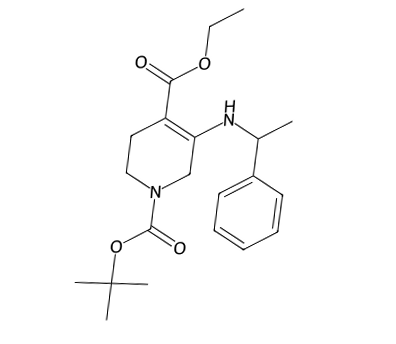 CCOC(=O)C1=C(NC(C)c2ccccc2)CN(C(=O)OC(C)(C)C)CC1